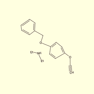 C#COc1ccc(OCc2ccccc2)cc1.CCNCC